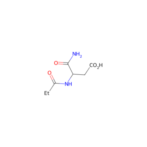 CCC(=O)NC(CC(=O)O)C(N)=O